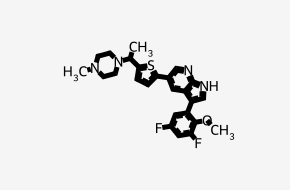 COc1c(F)cc(F)cc1-c1c[nH]c2ncc(-c3ccc(C(C)N4CCN(C)CC4)s3)cc12